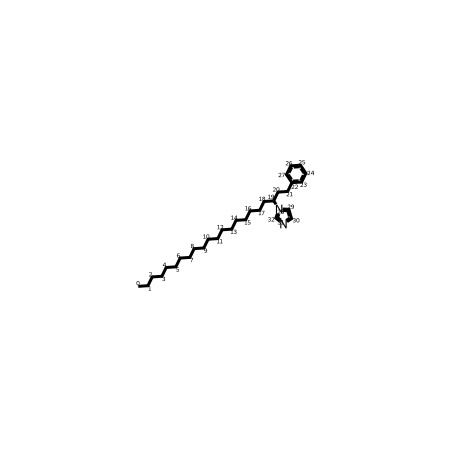 CCCCCCCCCCCCCCCCCCCC(CCc1ccccc1)n1ccnc1